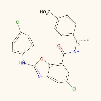 C[C@H](NC(=O)c1cc(Cl)cc2nc(Nc3ccc(Cl)cc3)oc12)c1ccc(C(=O)O)cc1